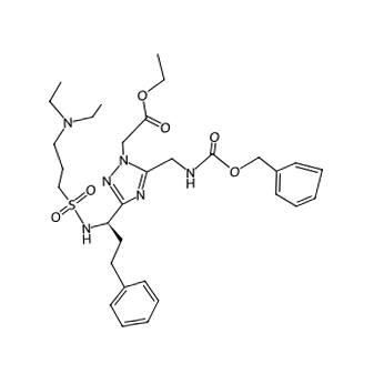 CCOC(=O)Cn1nc([C@@H](CCc2ccccc2)NS(=O)(=O)CCCN(CC)CC)nc1CNC(=O)OCc1ccccc1